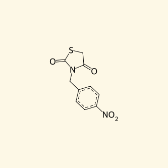 O=C1CSC(=O)N1Cc1ccc([N+](=O)[O-])cc1